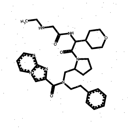 CCNCC(=O)NC(C(=O)N1CCCC1CN(CCc1ccccc1)C(=O)c1cn2cccnc2n1)C1CCOCC1